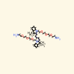 CC1(C)C(\C=C/C=C\C=C2\N(CCOCCOCCOCCN)c3ccccc3C2(C)C)=[N+](CCOCCOCCOCCN)c2ccccc21